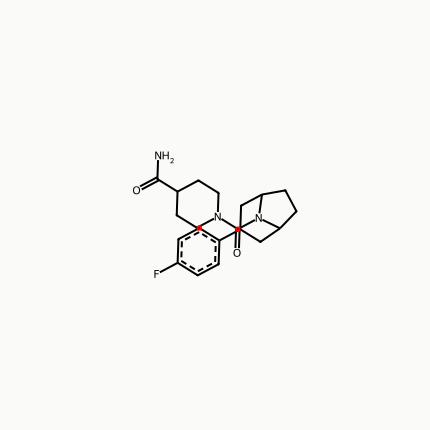 NC(=O)C1CCN(C(=O)N2C3CCC2CC(c2ccc(F)cc2)C3)CC1